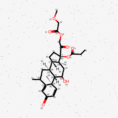 CCC(=O)O[C@]1(C(=O)COC(=O)COC)CC[C@H]2[C@@H]3CC(C)C4=CC(=O)C=C[C@]4(C)[C@H]3C(O)C[C@@]21C